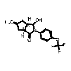 C=C1C[C@@H]2C(=O)N(c3ccc(OC(F)(F)F)cc3)C(O)[C@@H]2C1